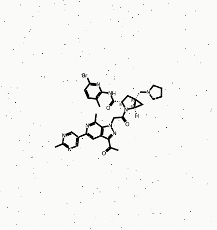 CC(=O)c1nn(CC(=O)N2[C@H](C(=O)Nc3nc(Br)ccc3C)C[C@@]3(CN4CCCC4)C[C@@H]23)c2c(C)nc(-c3cnc(C)nc3)cc12